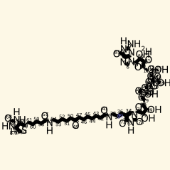 Nc1nc2c(ncn2[C@@H]2O[C@H](COP(=O)(O)OP(=O)(O)OP(=O)(O)OP(=O)(O)OC[C@H]3O[C@@H](n4cc(/C=C/CNC(=O)CCCCCCC(=O)CCCCCNC(=O)CCCC[C@H]5SC[C@H]6NC(=O)N[C@H]65)c(=O)[nH]c4=O)C(O)[C@H]3O)C(O)C2O)c(=O)[nH]1